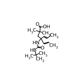 CC=CC(C=CC)(CC(C)(C)C(=O)O)NC(=O)BC(C)(C)C